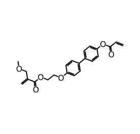 C=CC(=O)Oc1ccc(-c2ccc(OCCOC(=O)C(=C)COC)cc2)cc1